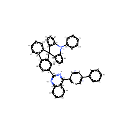 C=C(/C=C\C(=C/C)c1ccccc1)c1nc(-c2ccc3c(c2)C2(c4ccccc4-3)c3ccccc3N(c3ccccc3)c3ccccc32)nc2ccccc12